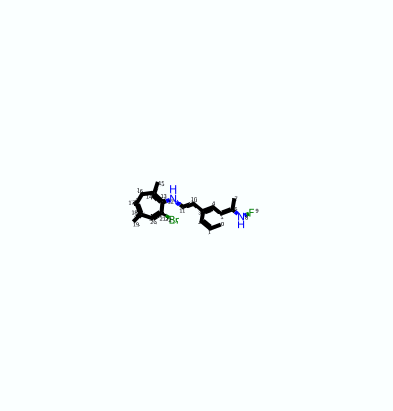 C\C=C/C(=C\C=C(/C)NF)CCNC1=C(C)CC=C(C)C=C1Br